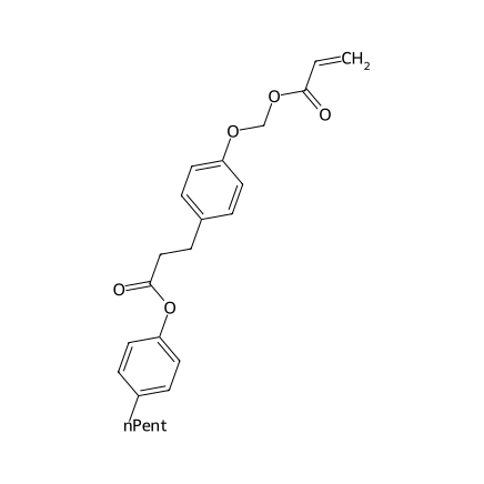 C=CC(=O)OCOc1ccc(CCC(=O)Oc2ccc(CCCCC)cc2)cc1